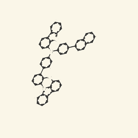 c1cc(-c2ccc(N(c3ccc(-c4ccc5ccccc5c4)cc3)c3cccc4c3oc3ccccc34)cc2)c2c(c1)-n1c3ccccc3c3cccc(c31)O2